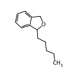 CCCCCC1OCc2ccccc21